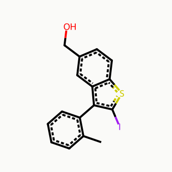 Cc1ccccc1-c1c(I)sc2ccc(CO)cc12